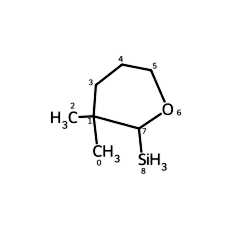 CC1(C)CCCOC1[SiH3]